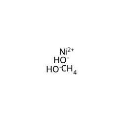 C.[Ni+2].[OH-].[OH-]